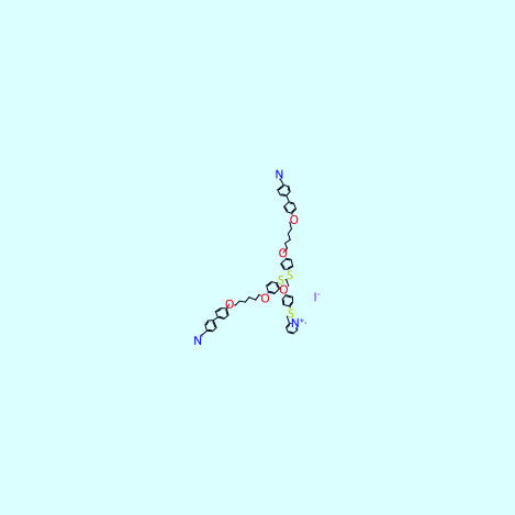 N#Cc1ccc(-c2ccc(OCCCCCCOc3ccc(SC(COc4ccc(SCC5=CC=CC=[N+]5)cc4)Sc4ccc(OCCCCCCOc5ccc(-c6ccc(C#N)cc6)cc5)cc4)cc3)cc2)cc1.[I-]